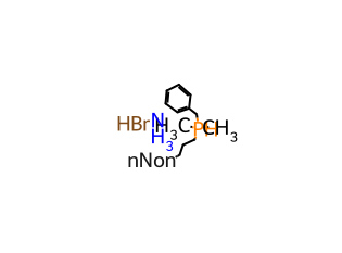 Br.CCCCCCCCCCCC[PH](C)(C)Cc1ccccc1.N